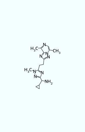 Cc1ncc(C)n2nc(CCc3nc(C(N)C4CC4)nn3C)nc12